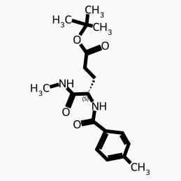 CNC(=O)[C@H](CCC(=O)OC(C)(C)C)NC(=O)c1ccc(C)cc1